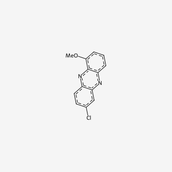 COc1cccc2nc3cc(Cl)ccc3nc12